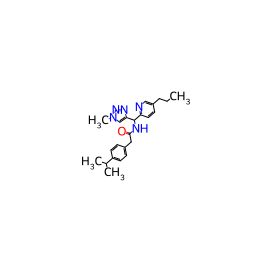 CCCc1ccc(C(NC(=O)Cc2ccc(C(C)C)cc2)c2cn(C)nn2)nc1